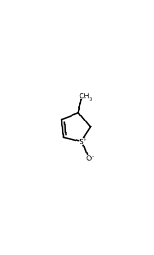 CC1C=C[S+]([O-])C1